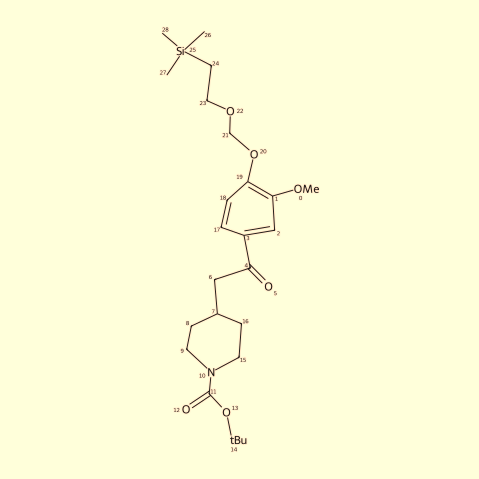 COc1cc(C(=O)CC2CCN(C(=O)OC(C)(C)C)CC2)ccc1OCOCC[Si](C)(C)C